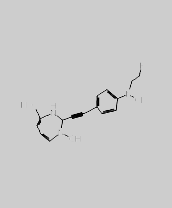 CC1=CC=CN(C)C(C#Cc2ccc(N(C)CCF)cc2)N1